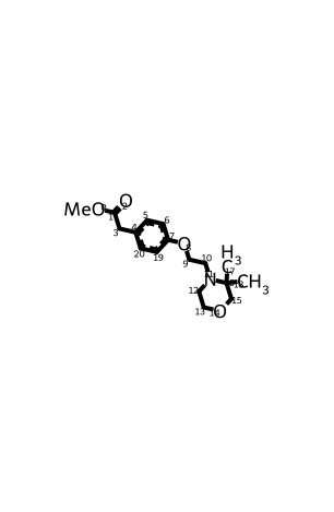 COC(=O)Cc1ccc(OCCN2CCOCC2(C)C)cc1